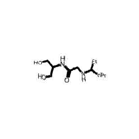 CCCC(CC)NCC(=O)NC(CO)CO